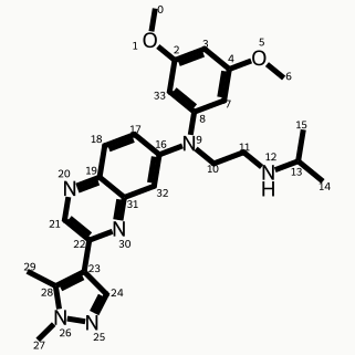 COc1cc(OC)cc(N(CCNC(C)C)c2ccc3ncc(-c4cnn(C)c4C)nc3c2)c1